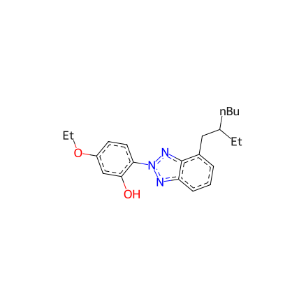 CCCCC(CC)Cc1cccc2nn(-c3ccc(OCC)cc3O)nc12